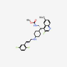 COc1ccc2ncc(F)c([C@@H](CNC(=O)OC(C)(C)C)C3CCC(NC/C=C/c4cc(F)ccc4F)CC3)c2c1